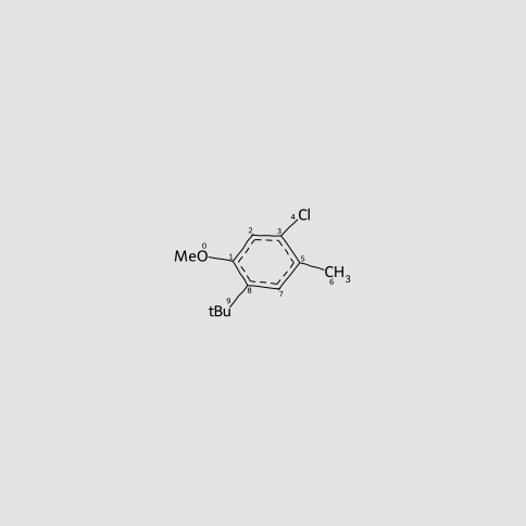 COc1cc(Cl)c(C)cc1C(C)(C)C